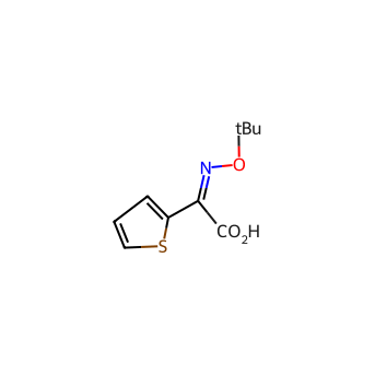 CC(C)(C)ON=C(C(=O)O)c1cccs1